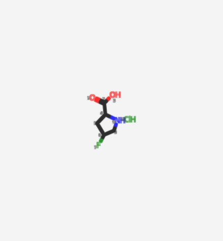 Cl.O=C(O)C1CC(F)CN1